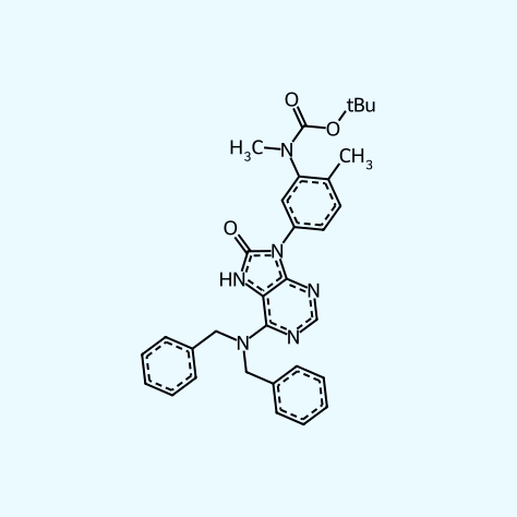 Cc1ccc(-n2c(=O)[nH]c3c(N(Cc4ccccc4)Cc4ccccc4)ncnc32)cc1N(C)C(=O)OC(C)(C)C